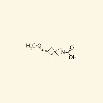 COC=C1CC2(C1)CN(C(=O)O)C2